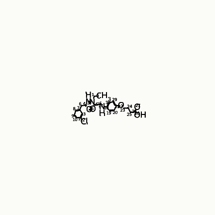 CCN(NC(=O)Cc1cccc(Cl)c1)C(=O)CNc1ccc(OCCCC(=O)O)cc1